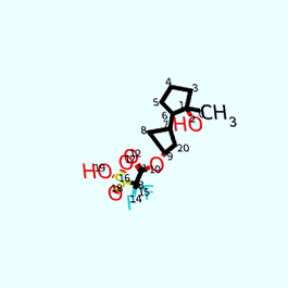 CC1(O)CCCC1C1CC(OC(=O)C(F)(F)S(=O)(=O)O)C1